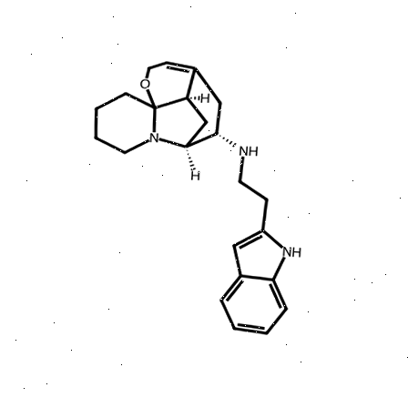 C1=C2C[C@H](NCCc3cc4ccccc4[nH]3)[C@@H]3C[C@H]2C2(CCCCN32)OC1